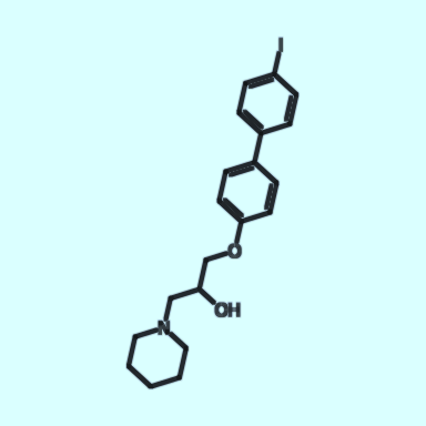 OC(COc1ccc(-c2ccc(I)cc2)cc1)CN1CCCCC1